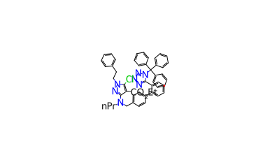 CCCN(Cc1ccc(-c2ccccc2-c2nnnn2C(c2ccccc2)(c2ccccc2)c2ccccc2)cc1)c1nn(CCc2ccccc2)c(Cl)c1C(=O)OCC